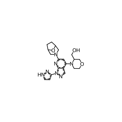 OCC1COCCN1c1cc(N2CC3CCC(C2)O3)nc2c1cnn2-c1cc[nH]n1